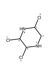 ClC1CNC(Cl)C(Cl)N1